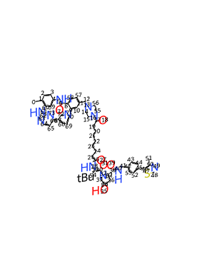 Cc1ccc(NC(=O)c2ccc(CN3CCN(C(=O)CCCCCCCC(=O)NC(C(=O)N4C[C@H](O)C[C@H]4C(=O)NCc4ccc(-c5scnc5C)cc4)C(C)(C)C)CC3)cc2)cc1Nc1nccc(-c2cccnc2)n1